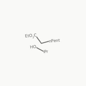 CC(C)O.CCCCCCC(=O)OCC